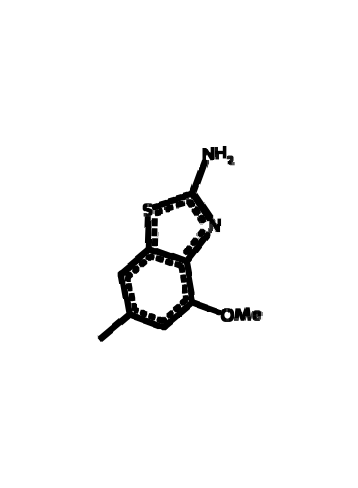 COc1cc(C)cc2sc(N)nc12